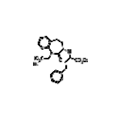 CCOC(=O)C(CCc1ccccc1)N[C@H]1CCc2ccccc2N(CC(=O)O)C1=O.Cl